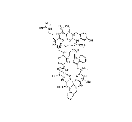 CC[C@H](C)[C@H](NC(=O)[C@@H](NC(=O)[C@H](CO)NC(=O)[C@H](Cc1ccccc1)NC(=O)[C@@H](NC(=O)[C@@H](N)Cc1c[nH]c2ccccc12)[C@@H](C)CC)[C@@H](C)O)C(=O)N[C@@H](CCC(=O)O)C(=O)NCC(=O)N[C@@H](CCCNC(=N)N)C(=O)N[C@H](C(=O)N[C@@H](Cc1ccc(O)cc1)C(=O)N[C@@H](CCCCN)C(=O)O)[C@@H](C)O